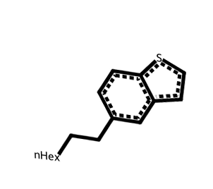 CCCCCCCCc1ccc2sccc2c1